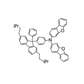 CC(C)CCc1ccc2c(c1)C(c1ccccc1)(c1ccc(N(c3ccc4c(c3)oc3ccccc34)c3ccc4c(c3)oc3ccccc34)cc1)c1cc(CCC(C)C)ccc1-2